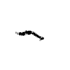 C=C(C)C(=O)OCCCCCCCCCCCOc1ccc(C(=O)Oc2ccc(-c3ccc(OCC)cn3)cc2)cc1